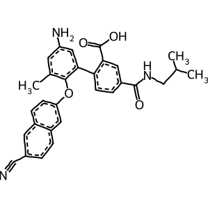 Cc1cc(N)cc(-c2ccc(C(=O)NCC(C)C)cc2C(=O)O)c1Oc1ccc2cc(C#N)ccc2c1